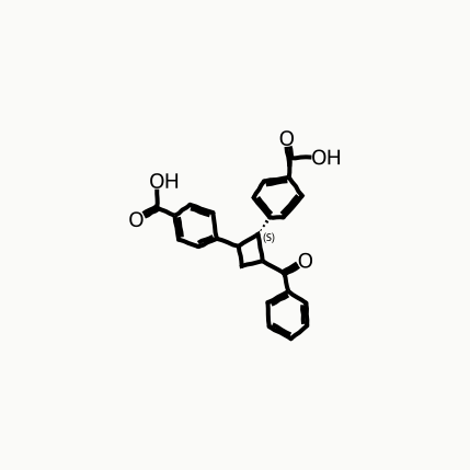 O=C(O)c1ccc(C2CC(C(=O)c3ccccc3)[C@H]2c2ccc(C(=O)O)cc2)cc1